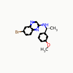 COc1cccc([C@@H](C)Nc2cnc3cc(Br)ccc3n2)c1